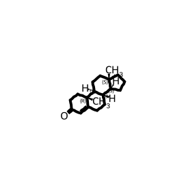 C[C@@]12[CH]CC[C@H]1[C@@H]1CCC3=CC(=O)CC[C@]3(C)[C@H]1CC2